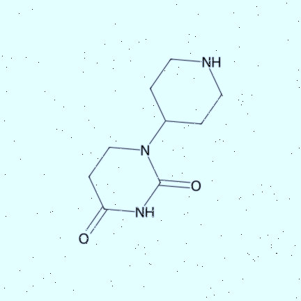 O=C1CCN(C2CCNCC2)C(=O)N1